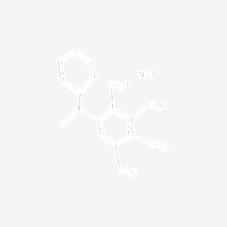 O=C(O)c1cc(C(=O)c2ccccc2)c(C(=O)O)c(C(=O)O)c1C(=O)O.[NaH]